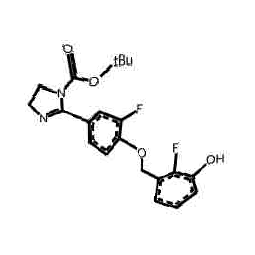 CC(C)(C)OC(=O)N1CCN=C1c1ccc(OCc2cccc(O)c2F)c(F)c1